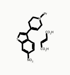 CC(C)N1CC=C(c2csc3cc([N+](=O)[O-])ccc23)CC1.O=C(O)C=CC(=O)O